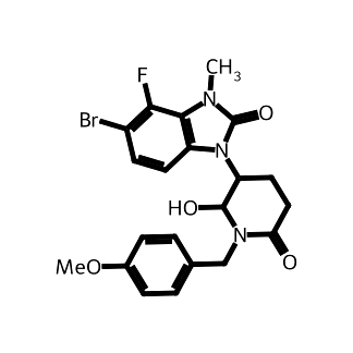 COc1ccc(CN2C(=O)CCC(n3c(=O)n(C)c4c(F)c(Br)ccc43)C2O)cc1